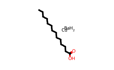 CCCCCCCCCCCCCC(=O)O.[BaH2].[Cd]